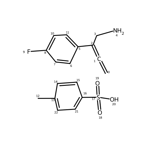 C=C=C(CN)c1ccc(F)cc1.Cc1ccc(S(=O)(=O)O)cc1